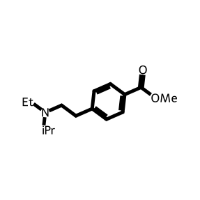 CCN(CCc1ccc(C(=O)OC)cc1)C(C)C